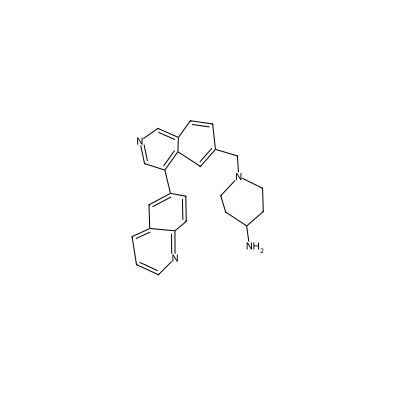 NC1CCN(Cc2ccc3cncc(-c4ccc5ncccc5c4)c3c2)CC1